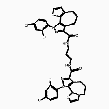 O=C(NCCCNC(=O)c1nn(-c2ccc(Cl)cc2Cl)c2c1CCCC1C=CSC21)c1nn(-c2ccc(Cl)cc2Cl)c2c1CCCc1ccsc1-2